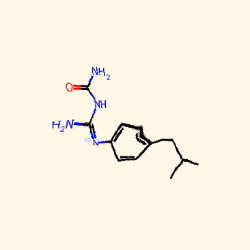 CC(C)Cc1ccc(/N=C(/N)NC(N)=O)cc1